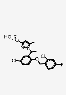 Cc1cc(OC(=O)O)nn1C(C)c1cc(Cl)ccc1OCc1ccc(F)cc1Cl